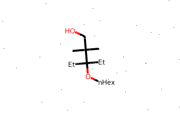 CCCCCCOC(CC)(CC)C(C)(C)CO